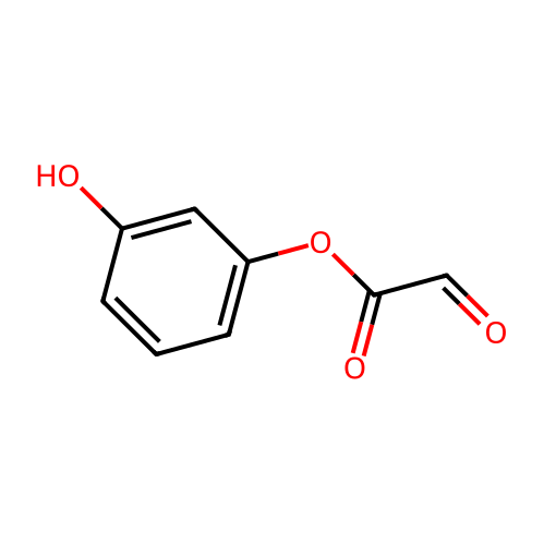 O=CC(=O)Oc1cccc(O)c1